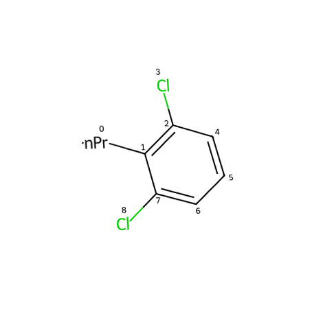 CC[CH]c1c(Cl)cccc1Cl